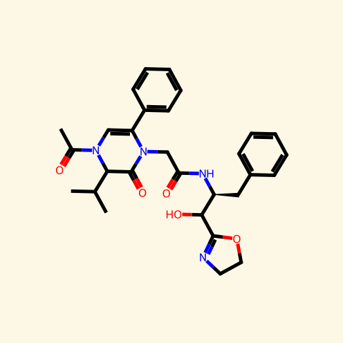 CC(=O)N1C=C(c2ccccc2)N(CC(=O)N[C@@H](Cc2ccccc2)C(O)C2=NCCO2)C(=O)C1C(C)C